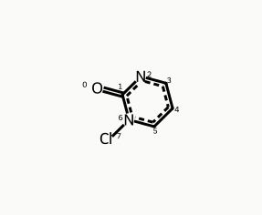 O=c1ncccn1Cl